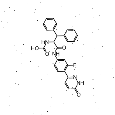 O=C(O)NC(C(=O)Nc1ccc(-c2ccc(=O)[nH]n2)c(F)c1)C(c1ccccc1)c1ccccc1